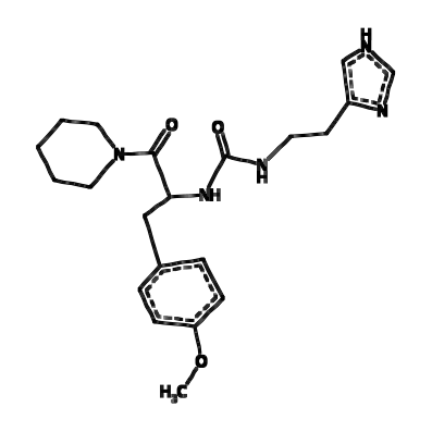 COc1ccc(CC(NC(=O)NCCc2c[nH]cn2)C(=O)N2CCCCC2)cc1